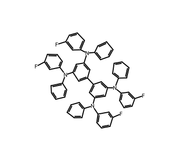 Fc1cccc(N(c2ccccc2)c2cc(-c3cc(N(c4ccccc4)c4cccc(F)c4)cc(N(c4ccccc4)c4cccc(F)c4)c3)cc(N(c3ccccc3)c3cccc(F)c3)c2)c1